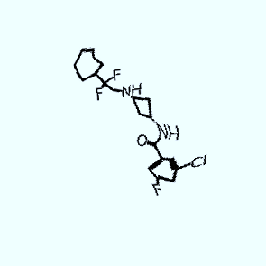 O=C(N[C@H]1C[C@H](NCC(F)(F)C2CCCCC2)C1)c1cc(F)cc(Cl)c1